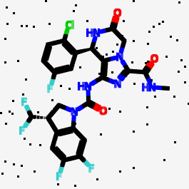 CNC(=O)c1nc(NC(=O)N2C[C@@H](C(F)F)c3cc(F)c(F)cc32)c2n1CC(=O)N[C@@H]2c1cc(F)ccc1Cl